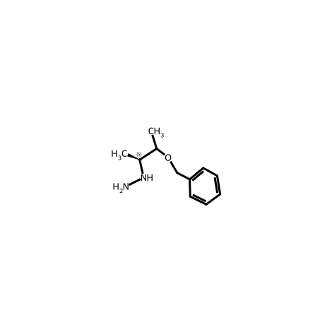 CC(OCc1ccccc1)[C@H](C)NN